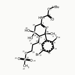 CC(C)(C)OC(=O)NC1=N[C@](C)(c2cc(Br)ccc2F)[C@@H](CCCOS(C)(=O)=O)S(O)(O)C1